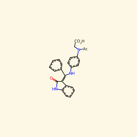 CC(=O)N(CC(=O)O)c1ccc(NC(=C2C(=O)Nc3ccccc32)c2ccccc2)cc1